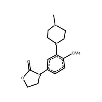 COc1ccc(N2CCOC2=O)cc1N1CCN(C)CC1